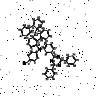 Brc1ccc2c(c1)c1ccc3c(c1n2-c1cccc(-c2nc(-c4ccccc4)nc(-c4ccccc4)n2)c1)-c1ccccc1C31c2ccccc2-c2ccccc21